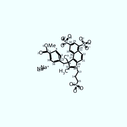 COC(=O)c1ccc(CC2(C)C(C)=[N+](CCCS(=O)(=O)[O-])c3ccc4c(S(=O)(=O)[O-])cc(S(=O)(=O)[O-])cc4c32)cc1.[Na+].[Na+]